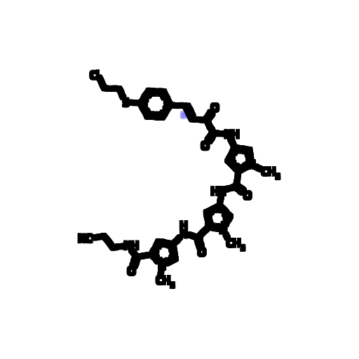 Cn1cc(NC(=O)c2cc(NC(=O)c3cc(NC(=O)C(=O)/C=C/c4ccc(SCCCl)cc4)cn3C)cn2C)cc1C(=O)NCCC#N